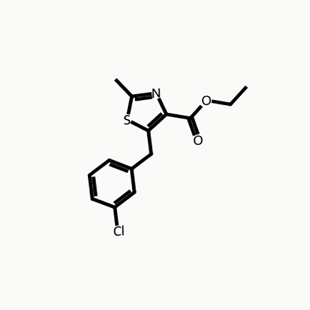 CCOC(=O)c1nc(C)sc1Cc1cccc(Cl)c1